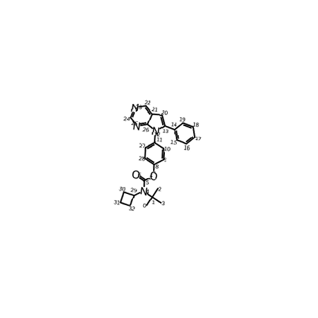 CC(C)(C)N(C(=O)Oc1ccc(-n2c(-c3ccccc3)cc3cncnc32)cc1)C1CCC1